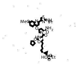 CCOP(=O)(O)[C@H]1C[C@H]1/C=C\CCCCC[C@H](NC(=O)OC1CCCC1)C(=O)N1C[C@H](Oc2cc(-c3csc(NC(C)C)n3)nc3cc(OC)ccc23)C[C@H]1C(N)=O